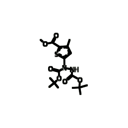 COC(=O)c1sc(N(NC(=O)OC(C)(C)C)C(=O)OC(C)(C)C)cc1C